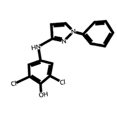 Oc1c(Cl)cc(Nc2ccn(-c3ccccc3)n2)cc1Cl